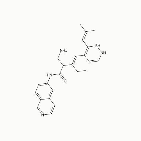 CC/C(=C\C1=C(C=C(C)C)BNC=C1)C(CN)C(=O)Nc1ccc2cnccc2c1